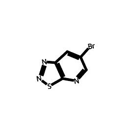 Brc1cnc2snnc2c1